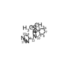 C[SiH](C)Oc1ccccc1CN=Cc1ccncn1